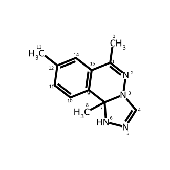 CC1=NN2C=NNC2(C)c2ccc(C)cc21